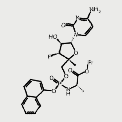 CC(C)OC(=O)[C@H](C)NP(=O)(OC[C@@]1(C)O[C@@H](n2ccc(N)nc2=O)[C@H](O)[C@@H]1F)Oc1cccc2ccccc12